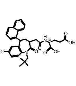 CC(C)(C)CN1C(=O)C(CC(=O)N[C@@H](CCC(=O)O)C(=O)O)CC(c2cccc3ccccc23)c2cc(Cl)ccc21